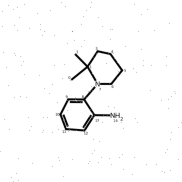 CC1(C)CCCCN1c1ccccc1N